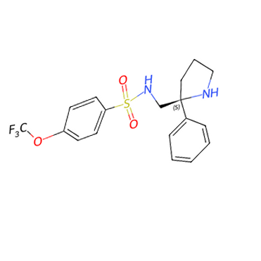 O=S(=O)(NC[C@@]1(c2ccccc2)CCCN1)c1ccc(OC(F)(F)F)cc1